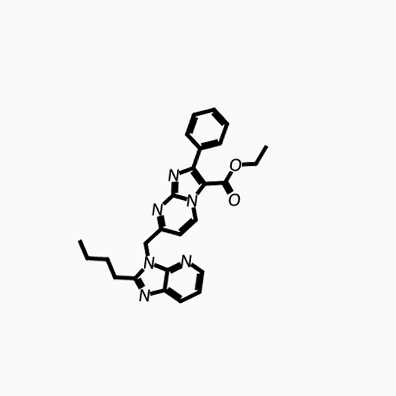 CCCCc1nc2cccnc2n1Cc1ccn2c(C(=O)OCC)c(-c3ccccc3)nc2n1